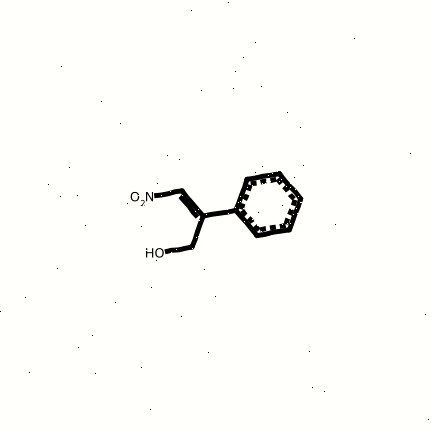 O=[N+]([O-])C=C(CO)c1ccccc1